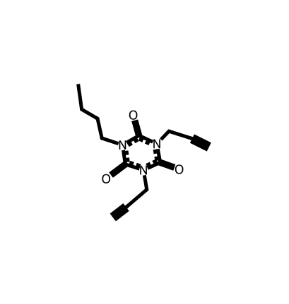 C#CCn1c(=O)n(CC#C)c(=O)n(CCCC)c1=O